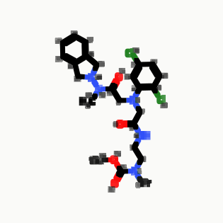 CC(C)N(CCNC(=O)CN(CC(=O)N(C)N1Cc2ccccc2C1)c1cc(Cl)ccc1Cl)C(=O)OC(C)(C)C